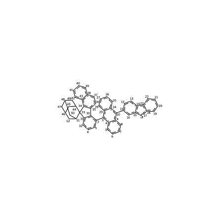 c1cc(-c2c3ccccc3c(-c3ccc4c(c3)sc3ccccc34)c3ccccc23)c2c(c1)C1(c3c-2ccc2ccccc32)C2CC3CC(C2)CC1C3